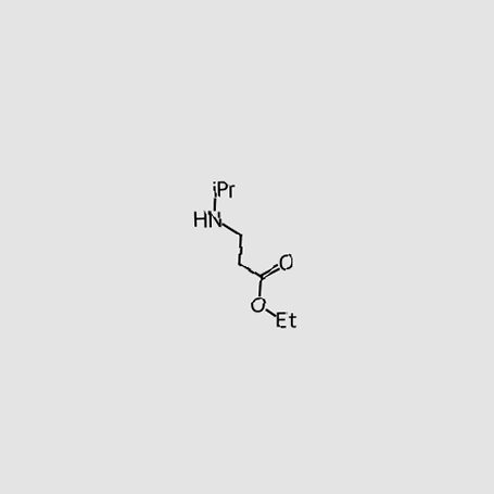 CCOC(=O)CCNC(C)C